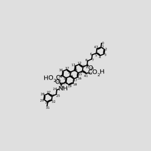 Cc1cccc(CCCC(=O)c2ccc3c(cc4ccc(C(=O)NCCc5cccc(C)c5)c5c(C(=O)O)ccc3c45)/c2=C/C(=O)O)c1